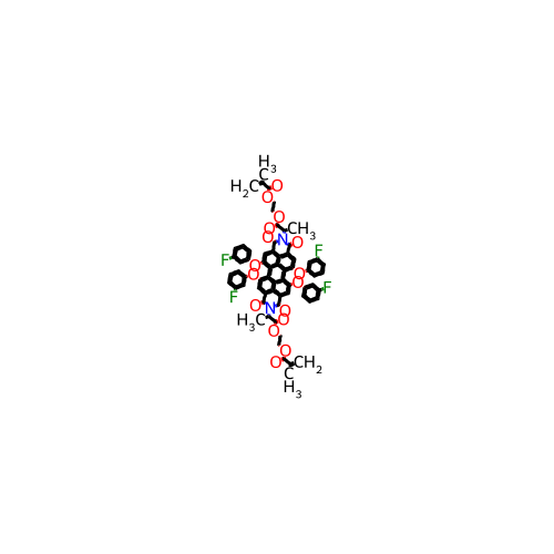 C=C(C)C(=O)OCCOC(=O)C(C)N1C(=O)c2cc(Oc3cccc(F)c3)c3c4c(Oc5cccc(F)c5)cc5c6c(cc(Oc7cccc(F)c7)c(c7c(Oc8cccc(F)c8)cc(c2c37)C1=O)c64)C(=O)N(C(C)C(=O)OCCOC(=O)C(=C)C)C5=O